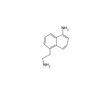 NCCc1cccc2c(N)cccc12